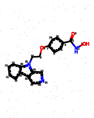 O=C(NO)c1ccc(OCCn2c3ccccc3c3ccncc32)cc1